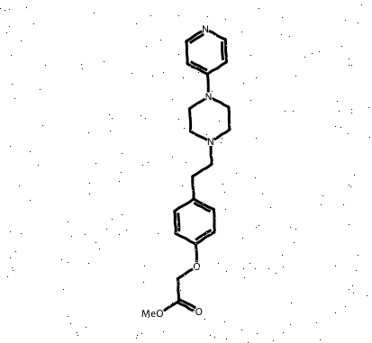 COC(=O)COc1ccc(CCN2CCN(c3ccncc3)CC2)cc1